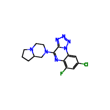 Fc1cc(Cl)cc2c1nc(N1CCN3CCCC3C1)c1nnnn12